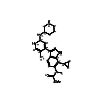 COC(=O)N(C)c1ccc2c(C3=NC(NC4CCCNC4)NC=C3C(F)(F)F)c[nH]c2c1C1CC1